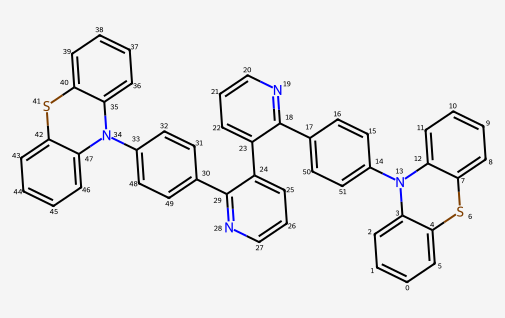 c1ccc2c(c1)Sc1ccccc1N2c1ccc(-c2ncccc2-c2cccnc2-c2ccc(N3c4ccccc4Sc4ccccc43)cc2)cc1